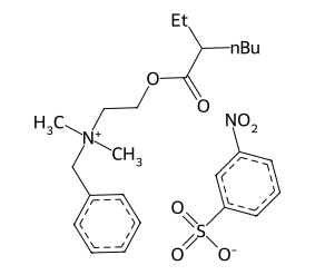 CCCCC(CC)C(=O)OCC[N+](C)(C)Cc1ccccc1.O=[N+]([O-])c1cccc(S(=O)(=O)[O-])c1